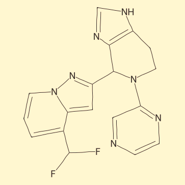 FC(F)c1cccn2nc(C3c4nc[nH]c4CCN3c3cnccn3)cc12